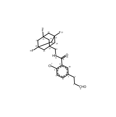 O=CCCc1ccc(Cl)c(C(=O)NCC23CC4(F)CC(F)(CC(F)(C4)C2)C3)c1